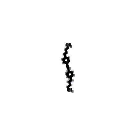 CCCC=Cc1ccc(C#Cc2ccc(/C=C/CCC)cc2)cc1